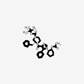 CC(=O)O[C@H]1CCCC[C@@H]1n1cnc(C(=O)N2CCN(C(=O)OC(C)(C)C)C[C@H]2Cc2ccccc2)c1-c1ccccc1